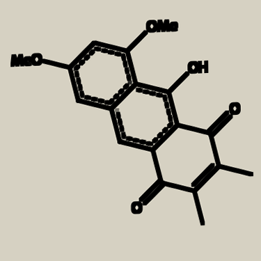 COc1cc(OC)c2c(O)c3c(cc2c1)C(=O)C(C)=C(C)C3=O